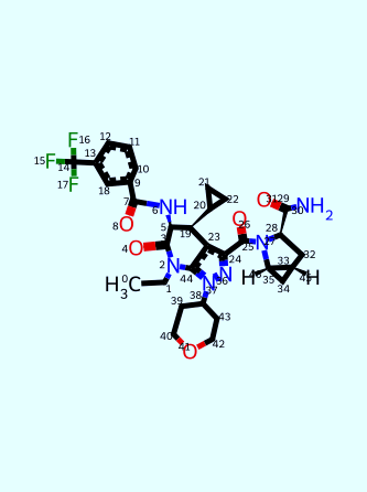 CCN1C(=O)[C@@H](NC(=O)c2cccc(C(F)(F)F)c2)[C@@H](C2CC2)c2c(C(=O)N3[C@@H](C(N)=O)C[C@@H]4C[C@@H]43)nn(C3CCOCC3)c21